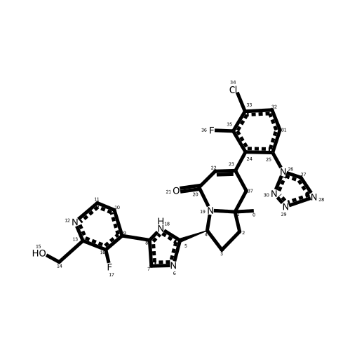 CC12CC[C@@H](c3ncc(-c4ccnc(CO)c4F)[nH]3)N1C(=O)C=C(c1c(-n3cnnn3)ccc(Cl)c1F)C2